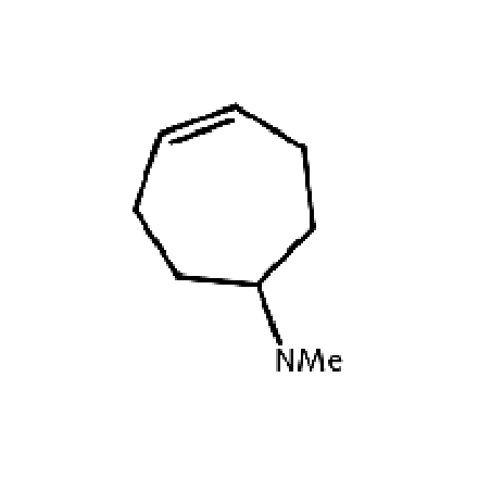 CNC1CCC=CCC1